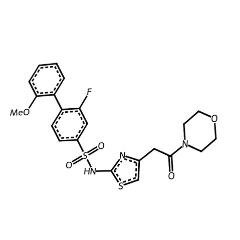 COc1ccccc1-c1ccc(S(=O)(=O)Nc2nc(CC(=O)N3CCOCC3)cs2)cc1F